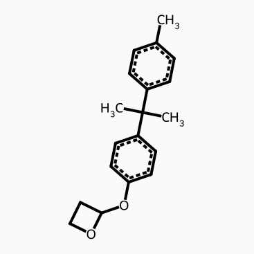 Cc1ccc(C(C)(C)c2ccc(OC3CCO3)cc2)cc1